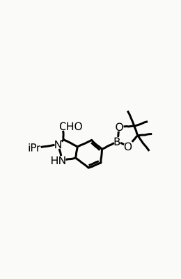 CC(C)N1NC2C=CC(B3OC(C)(C)C(C)(C)O3)=CC2C1C=O